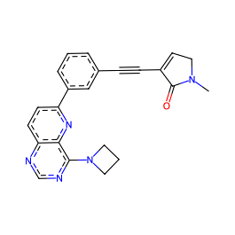 CN1CC=C(C#Cc2cccc(-c3ccc4ncnc(N5CCC5)c4n3)c2)C1=O